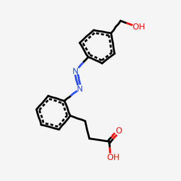 O=C(O)CCc1ccccc1/N=N/c1ccc(CO)cc1